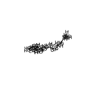 CC(=O)NC1C(OCCCNC(=O)COc2cccc(C(=O)NCCNC(=O)CCCC[C@@H]3SC[C@@H]4NC(=O)N[C@@H]43)c2)OC(CO)C(OC2OC(CO)C(O)C(OC3OC(CO)C(O)C(O)C3O)C2O)C1O